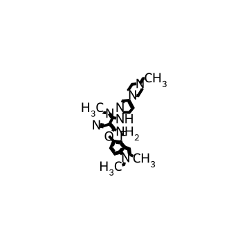 CC/N=C(N[C@@H]1CC=C(N2CCN(CC)CC2)C=N1)\C(C#N)=C(/N)Oc1ccc2c(cc(C)n2CC)c1F